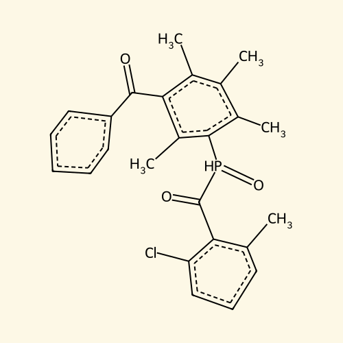 Cc1cccc(Cl)c1C(=O)[PH](=O)c1c(C)c(C)c(C)c(C(=O)c2ccccc2)c1C